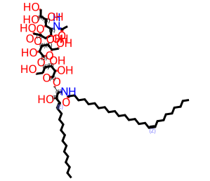 CCCCCCCC/C=C\CCCCCCCCCCCCCCCC(=O)N[C@@H](CO[C@@H]1OC(CO)[C@@H](O[C@@H]2OC(CO)[C@H](O)[C@H](O[C@]3(C(=O)O)CC(O)[C@@H](NC(C)=O)C([C@H](O)[C@H](O)CO)O3)C2O)[C@H](O)C1O)[C@H](O)/C=C/CCCCCCCCCCCCC